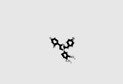 Cc1ccc(-n2cc(-c3ccc(F)cc3F)nc2Cc2ccc(Br)cc2)cc1[N+](=O)[O-]